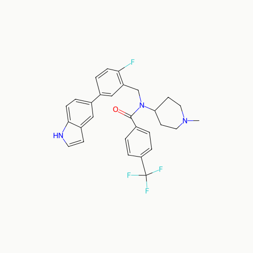 CN1CCC(N(Cc2cc(-c3ccc4[nH]ccc4c3)ccc2F)C(=O)c2ccc(C(F)(F)F)cc2)CC1